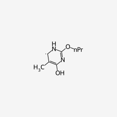 CCCOC1=NC(O)=C(C)[CH]N1